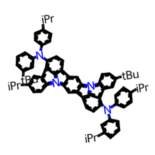 CC(C)c1ccc(N(c2cccc(C(C)(C)C)c2)c2ccc3c4cc5c(cc4n4c6ccc(C(C)C)cc6c2c34)c2ccc(N(c3ccc(C(C)C)cc3)c3cccc(C(C)C)c3)c3c4cc(C(C)(C)C)ccc4n5c23)cc1